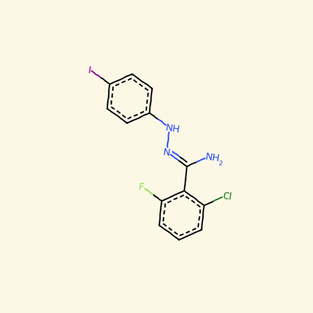 N/C(=N\Nc1ccc(I)cc1)c1c(F)cccc1Cl